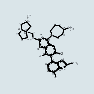 Nc1nc2c(-c3c(Cl)cc4c(N5CCCC(N)CC5)nc(OC[C@@]56CCCN5C[C@H](F)C6)nc4c3F)ccc(F)c2s1